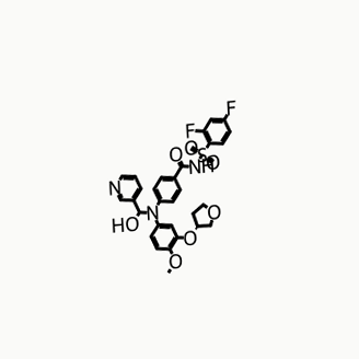 COc1ccc(N(c2ccc(C(=O)NS(=O)(=O)c3ccc(F)cc3F)cc2)C(O)c2cccnc2)cc1O[C@@H]1CCOC1